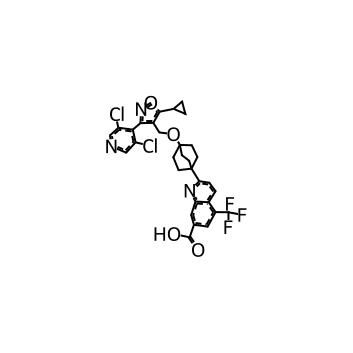 O=C(O)c1cc(C(F)(F)F)c2ccc(C34CCC(OCc5c(-c6c(Cl)cncc6Cl)noc5C5CC5)(CC3)CC4)nc2c1